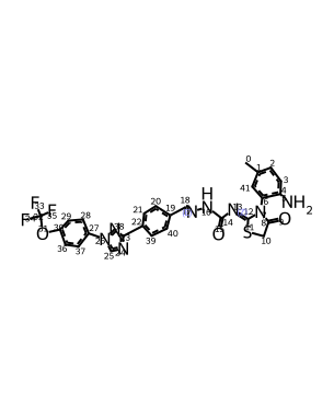 Cc1ccc(N)c(N2C(=O)CS/C2=N\C(=O)N/N=C/c2ccc(-c3ncn(-c4ccc(OC(F)(F)F)cc4)n3)cc2)c1